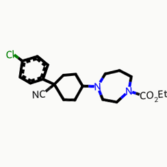 CCOC(=O)N1CCCN(C2CCC(C#N)(c3ccc(Cl)cc3)CC2)CC1